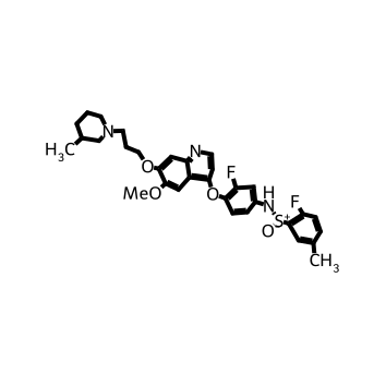 COc1cc2c(Oc3ccc(N[S+]([O-])c4cc(C)ccc4F)cc3F)ccnc2cc1OCCCN1CCCC(C)C1